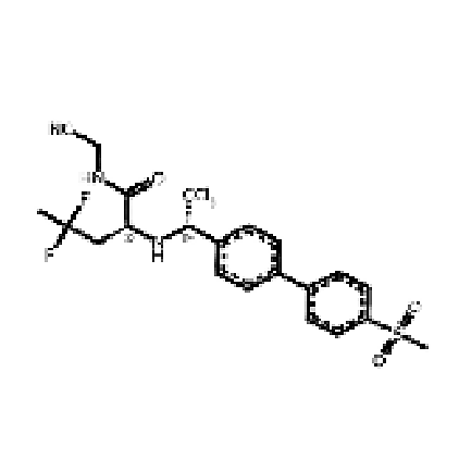 CC(F)(F)C[C@H](N[C@@H](c1ccc(-c2ccc(S(C)(=O)=O)cc2)cc1)C(Cl)(Cl)Cl)C(=O)NCC#N